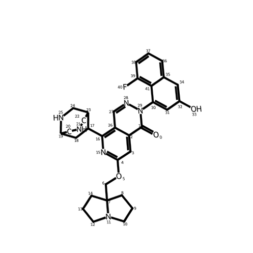 O=c1c2cc(OCC34CCCN3CCC4)nc(C3CC4CNCC3CN4)c2cnn1-c1cc(O)cc2cccc(F)c12